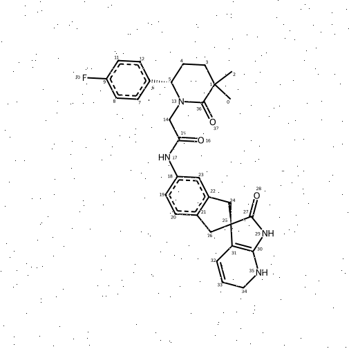 CC1(C)CC[C@@H](c2ccc(F)cc2)N(CC(=O)Nc2ccc3c(c2)C[C@@]2(C3)C(=O)NC3=C2C=CCN3)C1=O